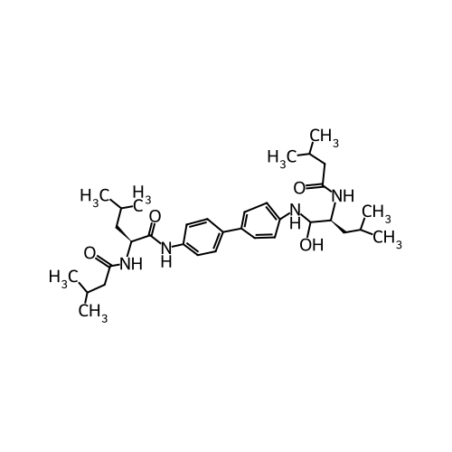 CC(C)CC(=O)N[C@@H](CC(C)C)C(=O)Nc1ccc(-c2ccc(NC(O)[C@H](CC(C)C)NC(=O)CC(C)C)cc2)cc1